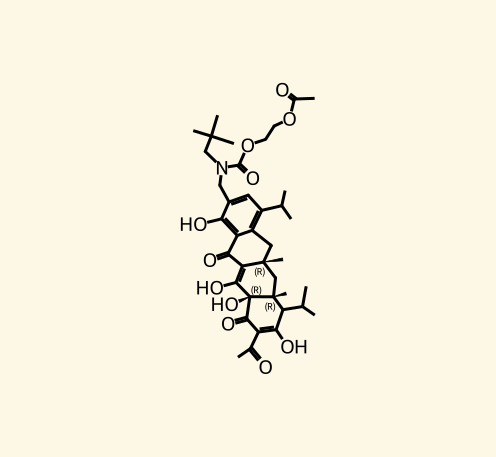 CC(=O)OCCOC(=O)N(Cc1cc(C(C)C)c2c(c1O)C(=O)C1=C(O)[C@@]3(O)C(=O)C(C(C)=O)=C(O)C(C(C)C)[C@@]3(C)C[C@@]1(C)C2)CC(C)(C)C